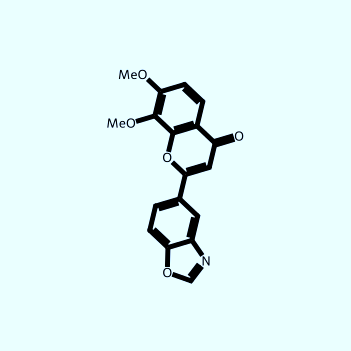 COc1ccc2c(=O)cc(-c3ccc4ocnc4c3)oc2c1OC